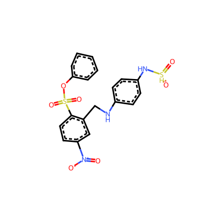 O=[N+]([O-])c1ccc(S(=O)(=O)Oc2ccccc2)c(CNc2ccc(N[SH](=O)=O)cc2)c1